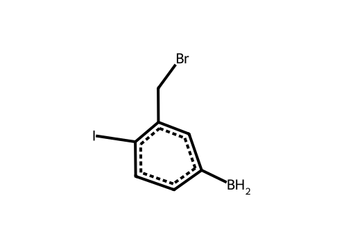 Bc1ccc(I)c(CBr)c1